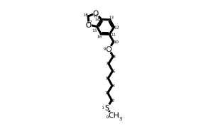 CSCCCCCCCOCc1ccc2c(c1)OCO2